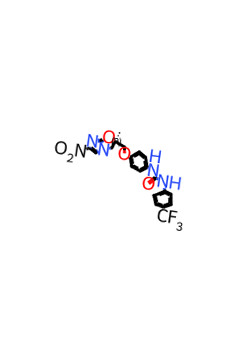 C[C@]1(COc2ccc(NC(=O)Nc3ccc(C(F)(F)F)cc3)cc2)Cn2cc([N+](=O)[O-])nc2O1